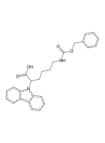 O=C(NCCCCC(C(=O)O)n1c2ccccc2c2ccccc21)OCc1ccccc1